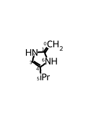 C=C1NC=C(C(C)C)N1